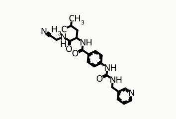 CC(C)CC(NC(=O)c1ccc(NC(=O)NCc2cccnc2)cc1)C(=O)NCC#N